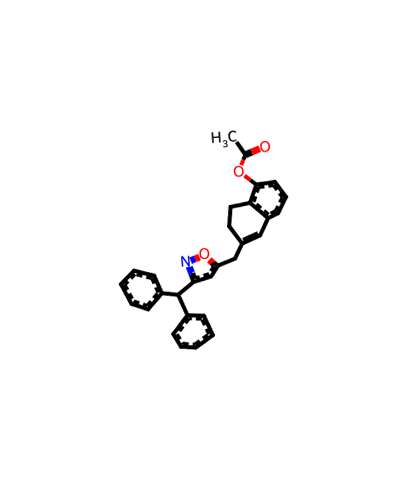 CC(=O)Oc1cccc2c1CCC(Cc1cc(C(c3ccccc3)c3ccccc3)no1)=C2